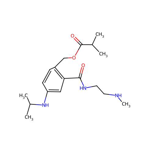 CNCCNC(=O)c1cc(NC(C)C)ccc1COC(=O)C(C)C